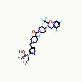 CCN(B(C)O)c1cc(CN2CCC(F)(C(=O)N3CCC(N(Cc4ncc(F)cc4F)C(=O)C(F)(F)F)CC3)CC2)ccn1